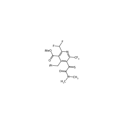 COC(=O)c1c(C(F)F)nc(C(F)(F)F)c(C(=S)C(=O)N(C)C)c1CC(C)C